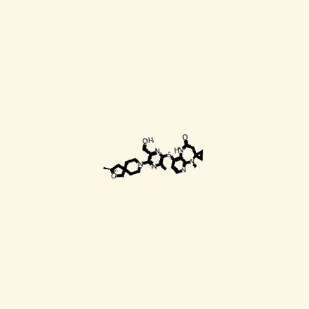 Cc1nc(N2CCC3(CC2)CO[C@@H](C)C3)c(CO)nc1Sc1ccnc2c1NC(=O)CC1(CC1)N2C